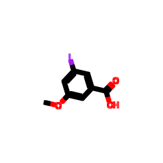 COc1cc(I)cc(C(=O)O)c1